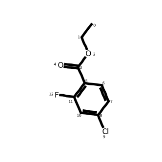 CCOC(=O)c1ccc(Cl)cc1F